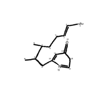 CCCCC=CCCC(C)C(C)CC1=CC(=O)CC=N1